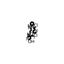 C=C(OC(/C=C/C(=N/N)N(C(=C)c1ccc(Cl)cn1)c1ccccc1Cl)=N\N)c1ccnc(O)c1